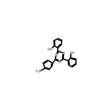 O=[N+]([O-])c1ccc(-c2nc(-c3ccccc3O)nc(-c3ccccc3O)n2)cc1